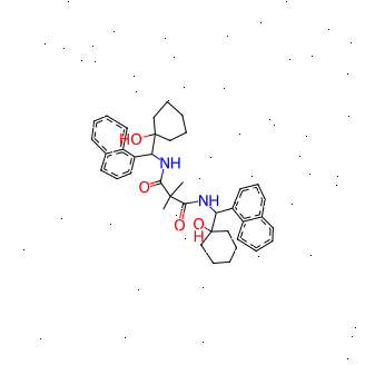 CC(C)(C(=O)NC(c1cccc2ccccc12)C1(O)CCCCC1)C(=O)NC(c1cccc2ccccc12)C1(O)CCCCC1